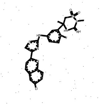 CN1C(=N)NC(C)(c2cc(Nc3nc(-c4ccc5cc(Cl)ccc5n4)cs3)ccc2F)CS1(=O)=O